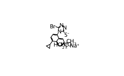 CC(=O)O.O.[Na+].[S-]c1nnc(Br)n1-c1ccc(C2CC2)c2ccccc12